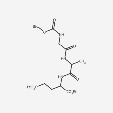 CCOC(=O)CCC(NC(=O)C(C)NC(=O)CNC(=O)OC(C)(C)C)C(=O)OCC